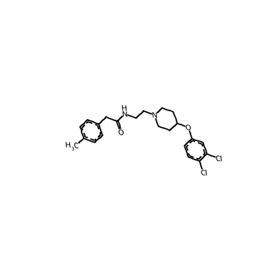 Cc1ccc(CC(=O)NCCN2CCC(Oc3ccc(Cl)c(Cl)c3)CC2)cc1